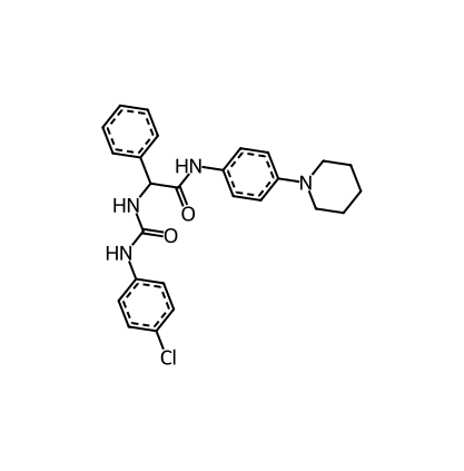 O=C(Nc1ccc(Cl)cc1)NC(C(=O)Nc1ccc(N2CCCCC2)cc1)c1ccccc1